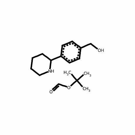 CC(C)(C)OC=O.OCc1ccc(C2CCCCN2)cc1